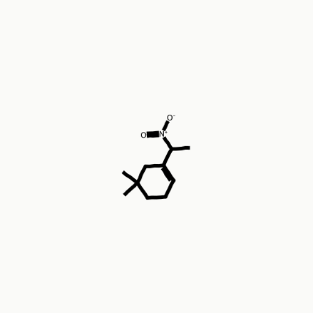 CC(C1=CCCC(C)(C)C1)[N+](=O)[O-]